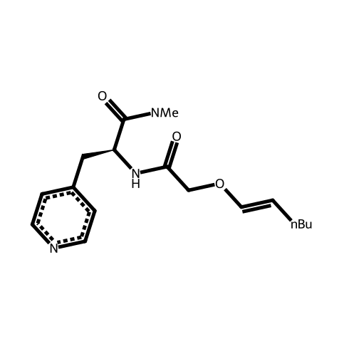 CCCC/C=C/OCC(=O)N[C@@H](Cc1ccncc1)C(=O)NC